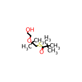 CC(C)(CSC(=O)C(C)(C)C)OCCO